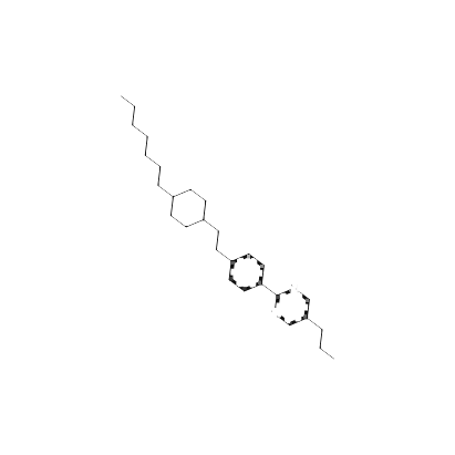 CCCCCCCC1CCC(CCc2ccc(-c3ncc(CCC)cn3)cc2)CC1